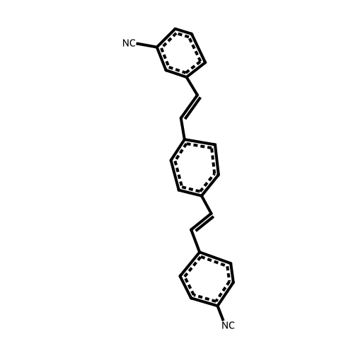 [C-]#[N+]c1ccc(C=Cc2ccc(C=Cc3cccc(C#N)c3)cc2)cc1